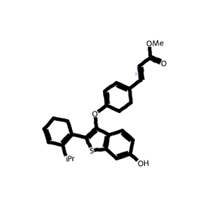 COC(=O)/C=C/C1=CC=C(Oc2c(C3=C(C(C)C)C=CCC3)sc3cc(O)ccc23)CC1